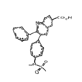 CN(c1ccc(-c2nc3cc(C(=O)O)ccc3nc2-c2ccccc2)cc1)S(C)(=O)=O